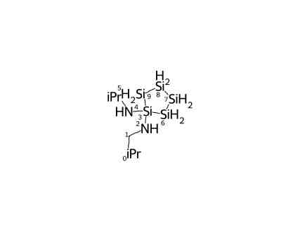 CC(C)CN[Si]1(NC(C)C)[SiH2][SiH2][SiH2][SiH2]1